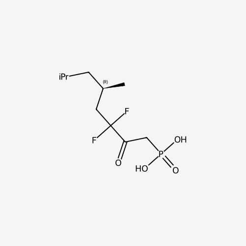 CC(C)C[C@@H](C)CC(F)(F)C(=O)CP(=O)(O)O